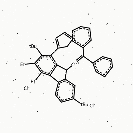 CCc1c(CC)c(C(C)(C)C)c(C2=CC=CC2)c2c1-c1ccc(C(C)(C)C)cc1[CH]2[Zr+2]=[C](c1ccccc1)c1ccccc1.[Cl-].[Cl-]